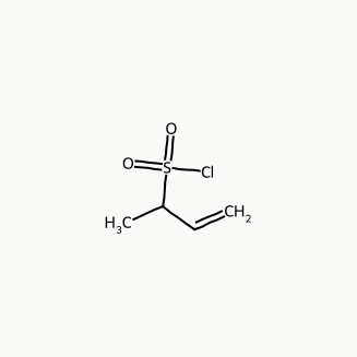 C=CC(C)S(=O)(=O)Cl